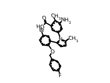 Cc1c(N)cc(-n2c(C)ccc2-c2cc(Br)ccc2OCc2ccc(F)cc2)cc1C(=O)O